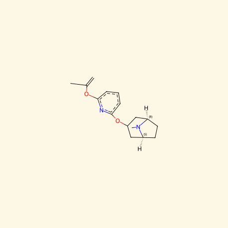 C=C(C)Oc1cccc(OC2C[C@H]3CC[C@@H](C2)N3C)n1